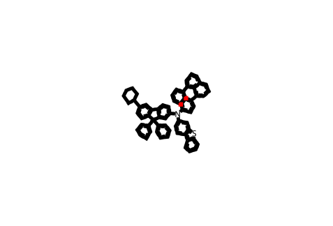 c1ccc(-c2cccc3cccc(-c4ccc(N(c5ccc6c(c5)C(c5ccccc5)(c5ccccc5)c5ccc(C7CCCCC7)cc5-6)c5ccc6c(c5)sc5ccccc56)cc4)c23)cc1